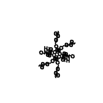 C=CC(=O)OCCOCCc1ccc(Oc2cc3c4c(cc(Oc5ccc(CCOCCOC(=O)C=C)cc5)c5c6c(Oc7ccc(CCOCCOC(=O)C=C)cc7)cc7c8c(cc(Oc9ccc(CCOCCOC(=O)C=C)cc9)c(c2c45)c86)C(=O)N(C(C(=O)NCc2ccccc2)C(C)CC)C7=O)C(=O)N(C(C(=O)NCc2ccccc2)C(C)CC)C3=O)cc1